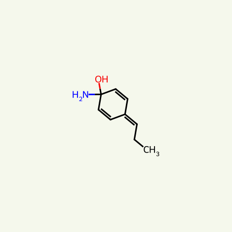 CCC=C1C=CC(N)(O)C=C1